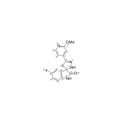 COc1cc(C2=NNC3(S2)C(=O)Nc2ccc(F)cc23)ccn1